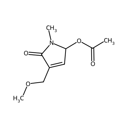 COCC1=CC(OC(C)=O)N(C)C1=O